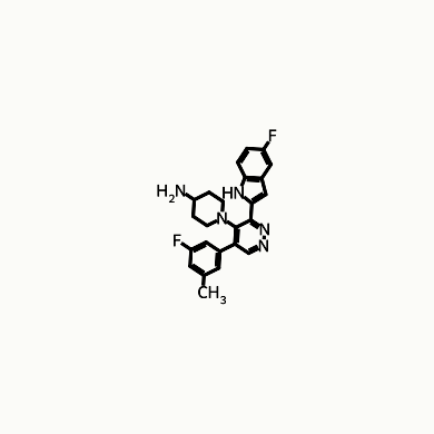 Cc1cc(F)cc(-c2cnnc(-c3cc4cc(F)ccc4[nH]3)c2N2CCC(N)CC2)c1